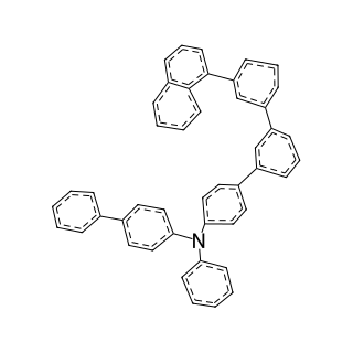 c1ccc(-c2ccc(N(c3ccccc3)c3ccc(-c4cccc(-c5cccc(-c6cccc7ccccc67)c5)c4)cc3)cc2)cc1